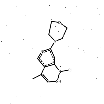 CC1=CNN(Cl)c2cc(N3CCOCC3)ncc21